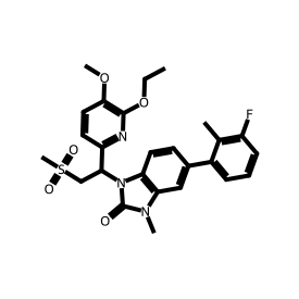 CCOc1nc(C(CS(C)(=O)=O)n2c(=O)n(C)c3cc(-c4cccc(F)c4C)ccc32)ccc1OC